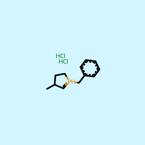 CC1C=[PH](Cc2ccccc2)CC1.Cl.Cl